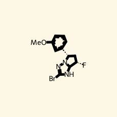 COc1cccc([C@@H]2C[C@H](F)C3NC(Br)=NN32)c1